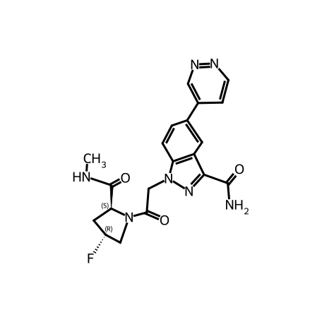 CNC(=O)[C@@H]1C[C@@H](F)CN1C(=O)Cn1nc(C(N)=O)c2cc(-c3ccnnc3)ccc21